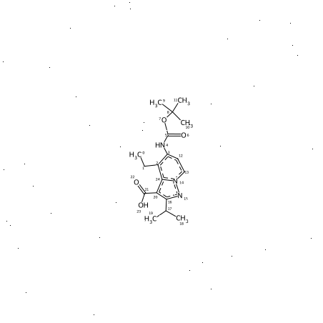 CCc1c(NC(=O)OC(C)(C)C)ccn2nc(C(C)C)c(C(=O)O)c12